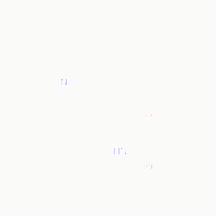 Cc1cc(C(=O)NC(C)C)ccn1